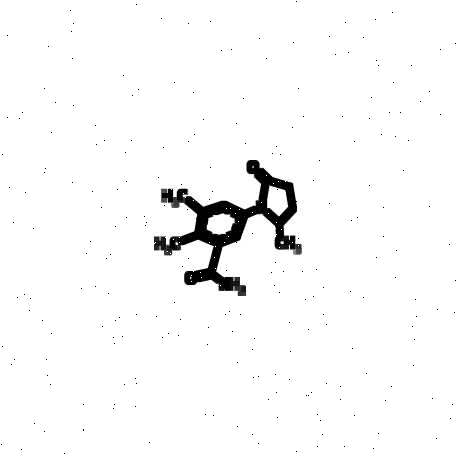 Cc1cc(N2C(=O)CCC2C)cc(C(N)=O)c1C